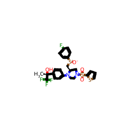 C[C@@](O)(c1ccc(N2CCN(S(=O)(=O)c3cccs3)C[C@@H]2C[S@+]([O-])c2ccc(F)cc2)cc1)C(F)(F)F